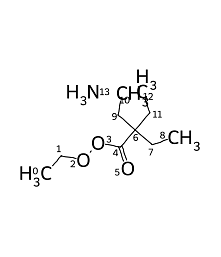 CCOOC(=O)C(CC)(CC)CC.N